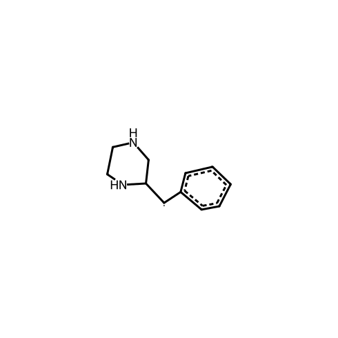 [CH](c1ccccc1)C1CNCCN1